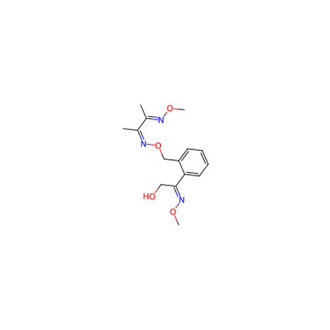 CON=C(C)C(C)=NOCc1ccccc1C(CO)=NOC